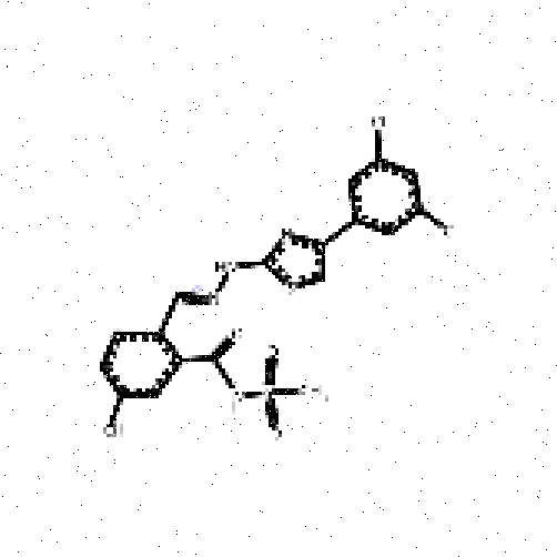 Cc1ccc(/C=N/Nc2nc(-c3cc(Cl)cc(Cl)c3)cs2)c(C(=O)NS(C)(=O)=O)c1